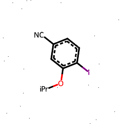 CC(C)Oc1cc(C#N)ccc1I